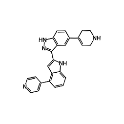 C1=C(c2ccc3[nH]nc(-c4cc5c(-c6ccncc6)cccc5[nH]4)c3c2)CCNC1